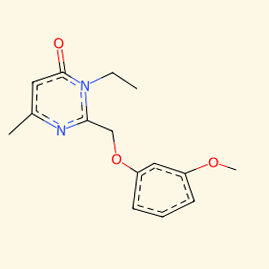 CCn1c(COc2cccc(OC)c2)nc(C)cc1=O